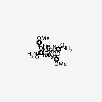 CCOC(CNc1c(OCc2ccc(OC)cc2)cc(C(N)=O)cc1[N+](=O)[O-])C(CNc1c(OCc2ccc(OC)cc2)cc(C(N)=O)cc1[N+](=O)[O-])OCC